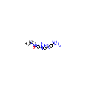 CN(C)CCNC(=O)c1ccc(-c2nc3ccc(-c4nc5ccc(C(=N)N)cc5[nH]4)cc3[nH]2)cc1